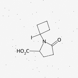 O=C(O)C1CCC(=O)N1C1(I)CCC1